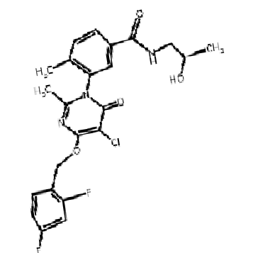 Cc1ccc(C(=O)NC[C@@H](C)O)cc1-n1c(C)nc(OCc2ccc(F)cc2F)c(Cl)c1=O